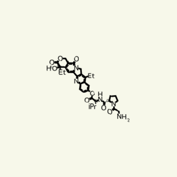 CCc1c2c(nc3ccc(OC(=O)[C@@H](NC(=O)[C@@H]4CCCN4C(=O)CN)C(C)C)cc13)-c1cc3c(c(=O)n1C2)COC(=O)[C@]3(O)CC